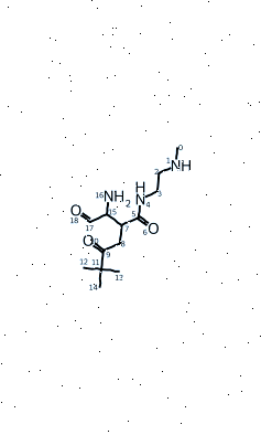 CNCCNC(=O)C(CC(=O)C(C)(C)C)C(N)C=O